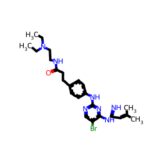 CCN(CC)CCNC(=O)CCc1ccc(Nc2ncc(Br)c(NC(=N)C=C(C)C)n2)cc1